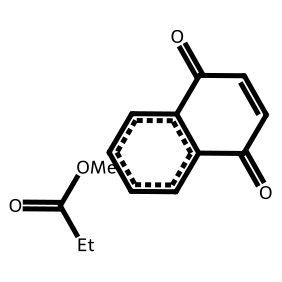 CCC(=O)OC.O=C1C=CC(=O)c2ccccc21